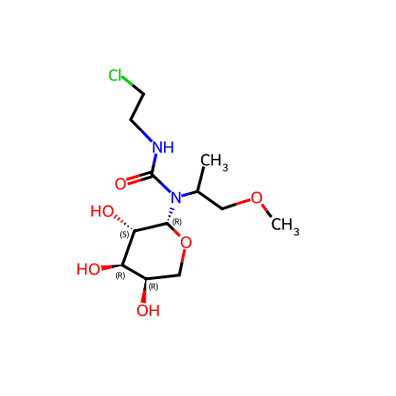 COCC(C)N(C(=O)NCCCl)[C@@H]1OC[C@@H](O)[C@@H](O)[C@@H]1O